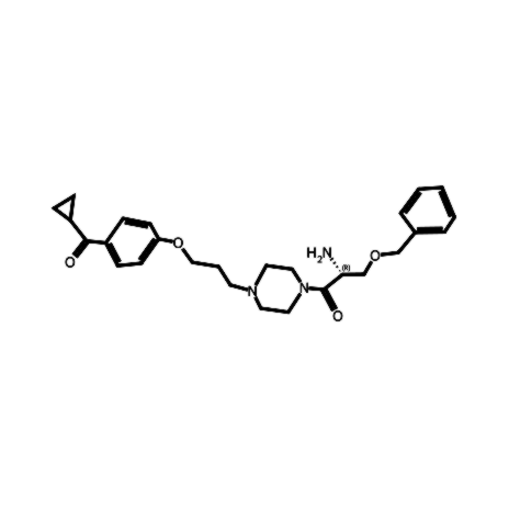 N[C@H](COCc1ccccc1)C(=O)N1CCN(CCCOc2ccc(C(=O)C3CC3)cc2)CC1